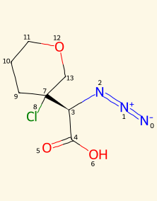 [N-]=[N+]=N[C@@H](C(=O)O)C1(Cl)CCCOC1